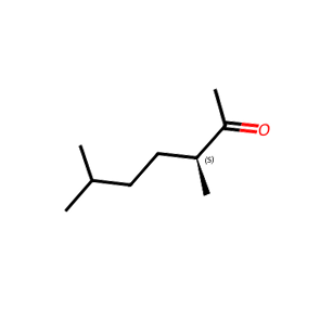 CC(=O)[C@@H](C)CCC(C)C